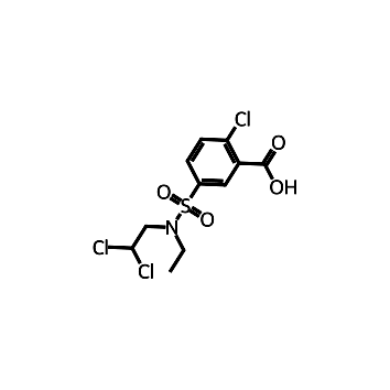 CCN(CC(Cl)Cl)S(=O)(=O)c1ccc(Cl)c(C(=O)O)c1